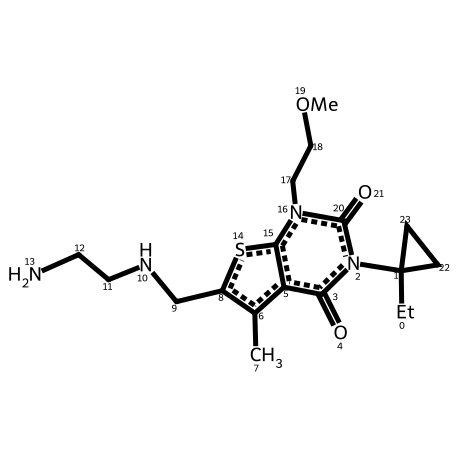 CCC1(n2c(=O)c3c(C)c(CNCCN)sc3n(CCOC)c2=O)CC1